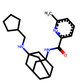 Cc1cccc(C(=O)NC23CC4CC(CC(NCC5CCCC5)(C4)C2)C3)n1